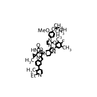 CCc1nccc(-c2ccc3c(c2)cc(C(=O)N2CCc4nn(-c5cc(C)c(F)c(C)c5)c(-n5ccn(-c6ccc(OC(C)(C)CO)c(OC)c6)c5=O)c4C2)n3[C@@]2(c3noc(=O)[nH]3)C[C@@H]2C)c1C